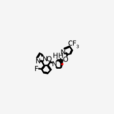 O=C(c1cccc(F)c1-c1ncccn1)N1CC2CC[C@H]1[C@H](Oc1ccc(C(F)(F)F)cn1)C2